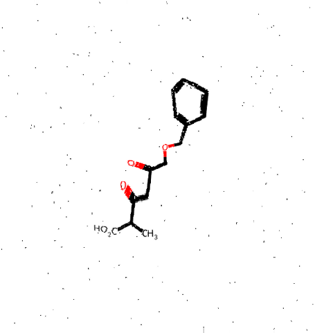 CC(C(=O)O)C(=O)CC(=O)COCc1ccccc1